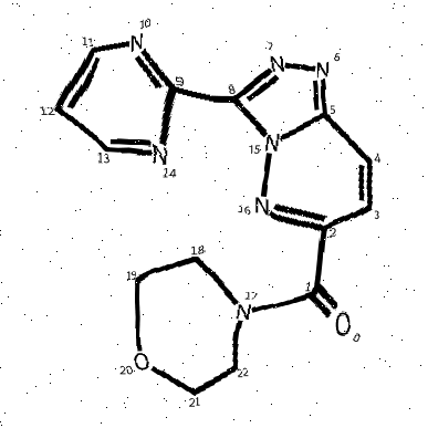 O=C(c1ccc2nnc(-c3ncccn3)n2n1)N1CCOCC1